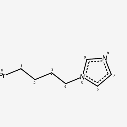 CC(C)CC[CH]Cn1ccnc1